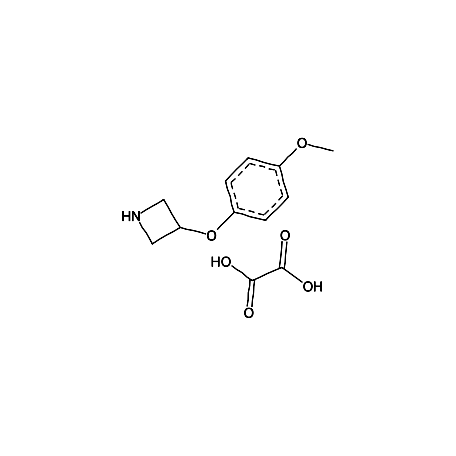 COc1ccc(OC2CNC2)cc1.O=C(O)C(=O)O